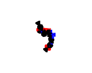 O=C1c2ccc(C3CC3)cc2OCCN1c1cccc(-c2ccnc3[nH]c(-c4ccc(CN5CCN(S(=O)(=O)C6CC6)CC5)cn4)cc23)c1CO